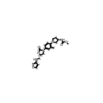 COC(=O)N[C@@H]1CCN(c2ccc(N3C[C@H](CNc4ccon4)OC3=O)cc2F)C1